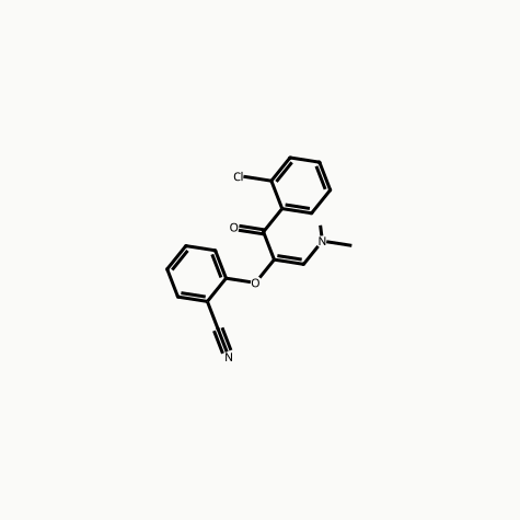 CN(C)/C=C(/Oc1ccccc1C#N)C(=O)c1ccccc1Cl